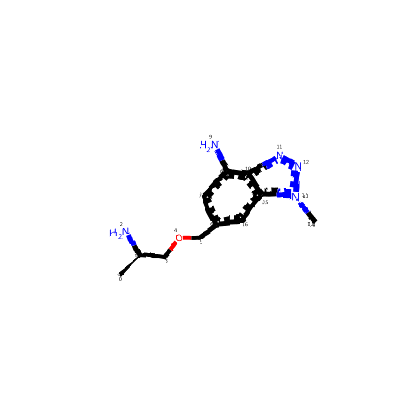 C[C@@H](N)COCc1cc(N)c2nnn(C)c2c1